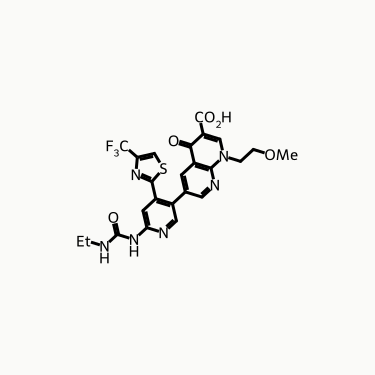 CCNC(=O)Nc1cc(-c2nc(C(F)(F)F)cs2)c(-c2cnc3c(c2)c(=O)c(C(=O)O)cn3CCOC)cn1